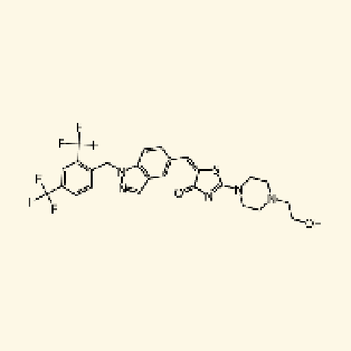 O=C1N=C(N2CCN(CCO)CC2)SC1=Cc1ccc2c(cnn2Cc2ccc(C(F)(F)F)cc2C(F)(F)F)c1